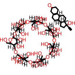 C#C[C@]1(O)CC[C@H]2[C@@H]3[C@H](C)CC4=C(CCC(=O)C4)[C@H]3CC[C@@]21C.OC[C@H]1O[C@@H]2O[C@H]3[C@H](O)[C@@H](O)[C@@H](O[C@H]4[C@H](O)[C@@H](O)[C@@H](O[C@H]5[C@H](O)[C@@H](O)[C@@H](O[C@H]6[C@H](O)[C@@H](O)[C@@H](O[C@H]7[C@H](O)[C@@H](O)[C@@H](O[C@H]8[C@H](O)[C@@H](O)[C@@H](O[C@H]1[C@H](O)[C@H]2O)O[C@@H]8CO)O[C@@H]7CO)O[C@@H]6CO)O[C@@H]5CO)O[C@@H]4CO)O[C@@H]3CO